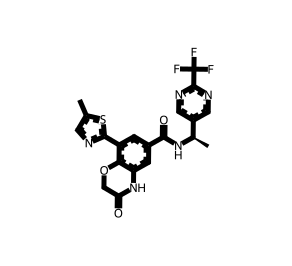 Cc1cnc(-c2cc(C(=O)N[C@H](C)c3cnc(C(F)(F)F)nc3)cc3c2OCC(=O)N3)s1